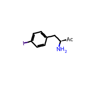 CC(=O)[C@@H](N)Cc1ccc(I)cc1